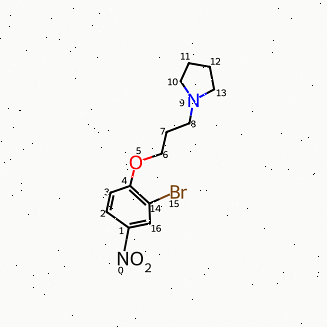 O=[N+]([O-])c1ccc(OCCCN2CCCC2)c(Br)c1